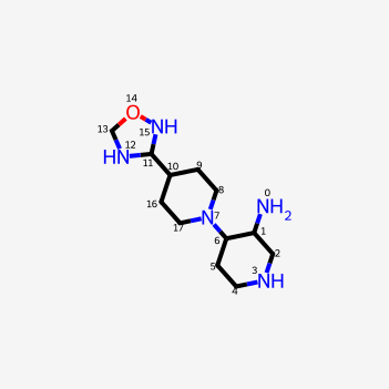 NC1CNCCC1N1CCC(C2NCON2)CC1